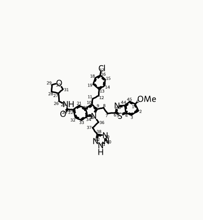 COc1ccc2sc(CCc3c(CCc4ccc(Cl)cc4)c4cc(C(=O)NCC5CCOC5)ccc4n3CCc3nn[nH]n3)nc2c1